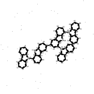 c1cc(-n2c3ccccc3c3ccccc32)c2sc3ccc(-c4cc(-n5c6ccccc6c6ccccc65)c5sc6c(-n7c8ccccc8c8ccccc87)cccc6c5c4)cc3c2c1